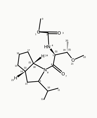 COC(=O)N[C@H](C(=O)N1C(C(C)C)C[C@@H]2CCC[C@@H]21)[C@H](C)OC